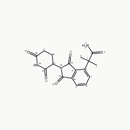 CC(C)(C(N)=O)c1cccc2c1C(=O)N(C1CCC(=O)NC1=O)C2=O